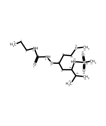 [CH2]CCNC(=O)NOC(CCOC)CC(NS(C)(=O)=O)C(C)C